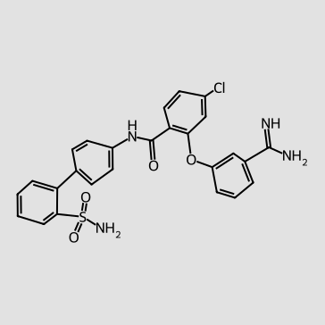 N=C(N)c1cccc(Oc2cc(Cl)ccc2C(=O)Nc2ccc(-c3ccccc3S(N)(=O)=O)cc2)c1